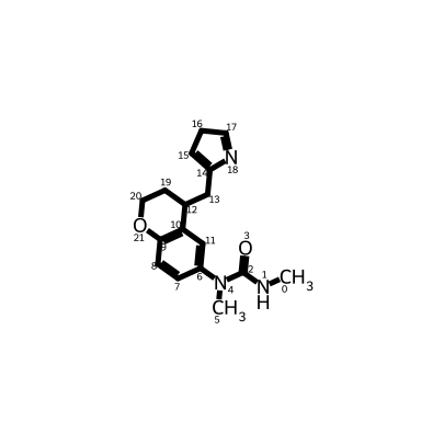 CNC(=O)N(C)c1ccc2c(c1)C(CC1=CCC=N1)CCO2